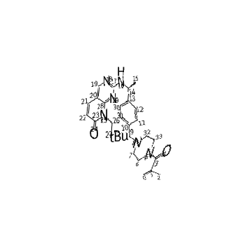 C=C(C)C(=O)N1CCN(Cc2ccc([C@H](C)Nc3ncc4ccc(=O)n(CC(C)(C)C)c4n3)cc2)CC1